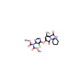 Cc1cc(Oc2ncnc(N(C(=O)OC(C)(C)C)C(=O)OC(C)(C)C)c2Cl)c(=O)n2c1C(=O)NC21CCCCC1